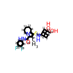 Cc1c(SNC2C3CCC34C2CC4(O)CO)c2n(c1C(=O)Nc1ccc(F)c(F)c1)CCCCC2